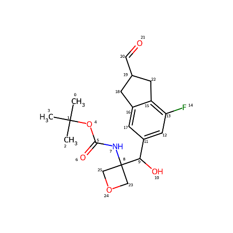 CC(C)(C)OC(=O)NC1(C(O)c2cc(F)c3c(c2)CC(C=O)C3)COC1